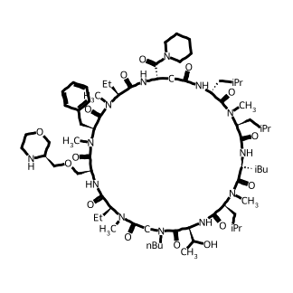 CCCCN1CC(=O)N(C)[C@@H](CC)C(=O)N[C@@H](COC[C@@H]2COCCN2)C(=O)N(C)[C@@H](Cc2ccccc2)C(=O)N(C)[C@@H](CC)C(=O)N[C@H](C(=O)N2CCCCC2)CC(=O)N[C@H](CC(C)C)C(=O)N(C)[C@@H](CC(C)C)C(=O)N[C@@H]([C@@H](C)CC)C(=O)N(C)[C@@H](CC(C)C)C(=O)N[C@@H](C(C)O)C1=O